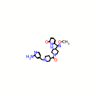 CO/N=C(\c1cccc(=O)[nH]1)C1CCN(C(=O)C2CCN(Cc3ccnc(N)c3)CC2)CC1